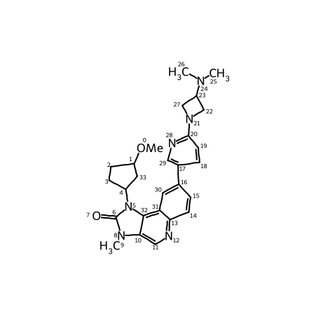 COC1CCC(n2c(=O)n(C)c3cnc4ccc(-c5ccc(N6CC(N(C)C)C6)nc5)cc4c32)C1